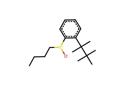 CCCC[S+]([O-])c1ccccc1C(C)(C)C(C)(C)C